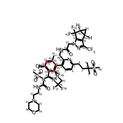 CC(C)(CCc1ccc(-c2ccc(Cl)c3c(N(C(=O)NCCN4CCOCC4)S(C)(=O)=O)[n+]4n(c23)CC4(F)F)c([C@H](Cc2cc(F)cc(F)c2)NC(=O)Cn2nc(C(F)(F)F)c3c2C(F)(F)[C@@H]2C[C@H]32)n1)S(C)(=O)=O